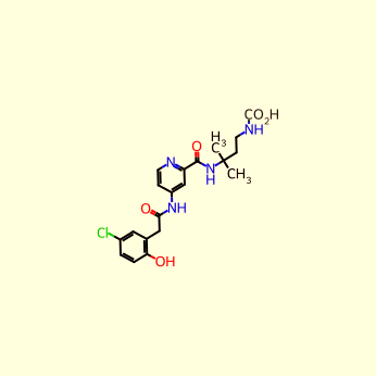 CC(C)(CCNC(=O)O)NC(=O)c1cc(NC(=O)Cc2cc(Cl)ccc2O)ccn1